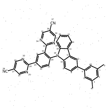 Cc1cc(C)cc(-c2ccc3c(c2)c2ccccc2n3-c2ccc(-c3ncc(C#N)cn3)cc2-c2ncc(C#N)cn2)c1